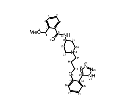 COCc1ccccc1C(=O)NC1CCN(CCCOc2ccccc2-c2nnn[nH]2)CC1